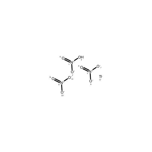 O=[N+]([O-])O.O=[N+]([O-])[O-].O=[N+]([O-])[O-].[Tl]